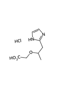 CC(Cc1ncc[nH]1)OCC(=O)O.Cl